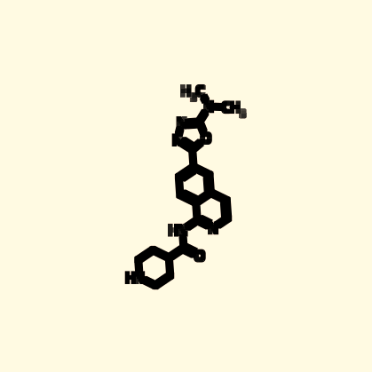 CN(C)c1nnc(-c2ccc3c(NC(=O)C4CCNCC4)nccc3c2)o1